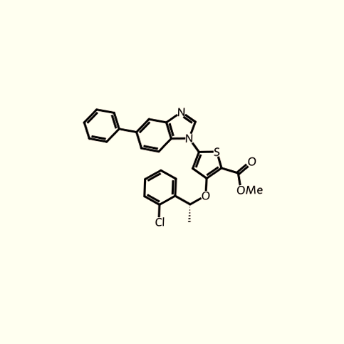 COC(=O)c1sc(-n2cnc3cc(-c4ccccc4)ccc32)cc1O[C@H](C)c1ccccc1Cl